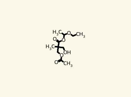 CCOC(C)OC(=O)C(C)(CO)COC(C)=O